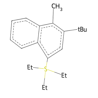 CCS(CC)(CC)c1cc(C(C)(C)C)c(C)c2ccccc12